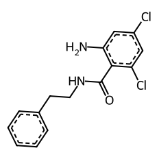 Nc1cc(Cl)cc(Cl)c1C(=O)NCCc1ccccc1